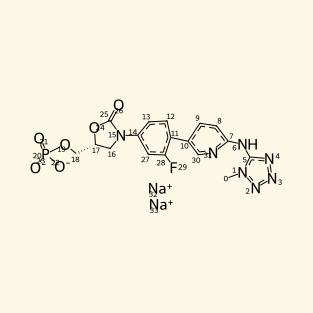 Cn1nnnc1Nc1ccc(-c2ccc(N3C[C@H](COP(=O)([O-])[O-])OC3=O)cc2F)cn1.[Na+].[Na+]